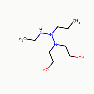 CCCN(NCC)N(CCO)CCO